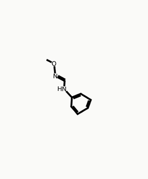 CON=CNc1ccccc1